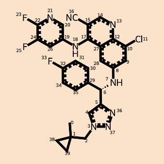 CC1(Cn2cc([C@@H](Nc3cc(Cl)c4ncc(C#N)c(Nc5cnc(F)c(F)c5)c4c3)c3ccc(F)cc3)nn2)CC1